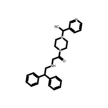 N#CC(c1cccnc1)N1CCN(C(=O)CNCC(c2ccccc2)c2ccccc2)CC1